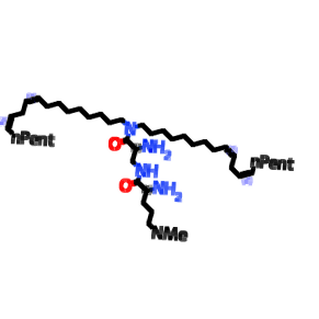 CCCCC/C=C\C/C=C\CCCCCCCCN(CCCCCCCC/C=C\C/C=C\CCCCC)C(=O)[C@@H](N)CNC(=O)[C@@H](N)CCCNC